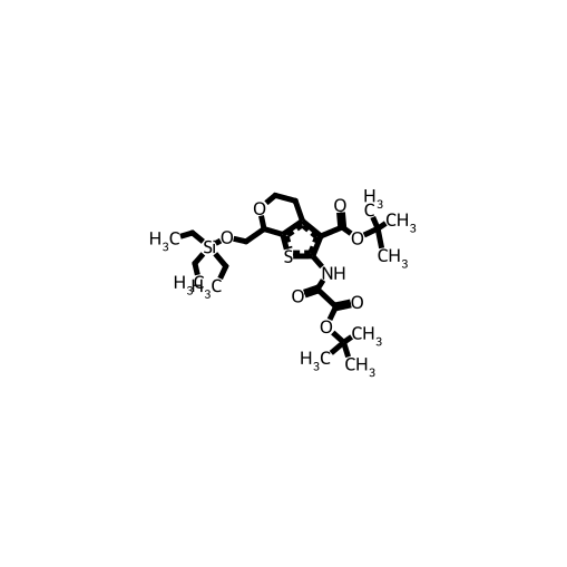 CC[Si](CC)(CC)OCC1OCCc2c1sc(NC(=O)C(=O)OC(C)(C)C)c2C(=O)OC(C)(C)C